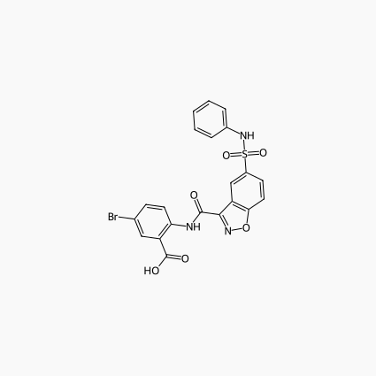 O=C(O)c1cc(Br)ccc1NC(=O)c1noc2ccc(S(=O)(=O)Nc3ccccc3)cc12